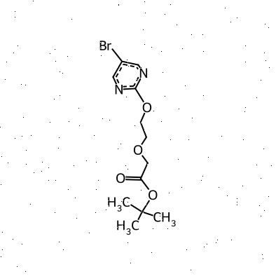 CC(C)(C)OC(=O)COCCOc1ncc(Br)cn1